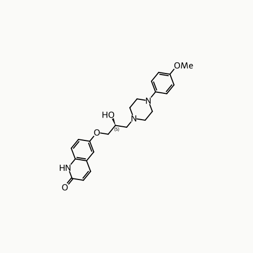 COc1ccc(N2CCN(C[C@H](O)COc3ccc4[nH]c(=O)ccc4c3)CC2)cc1